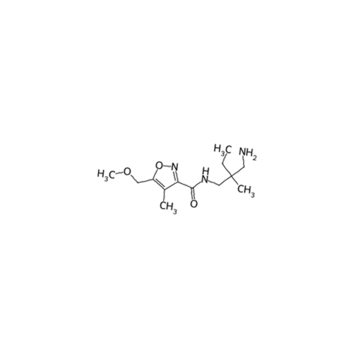 CCC(C)(CN)CNC(=O)c1noc(COC)c1C